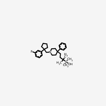 CC(C)(CCC1(c2ccccc2)CCN(CC2(c3cccc(F)c3)CCCC2)CC1)[Si](C)(C)O